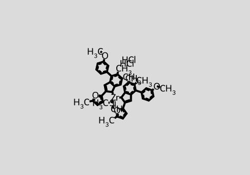 COc1cccc(-c2c(C)c(C)cc3c2C=C(c2ccc(C)o2)[CH]3[Zr]([CH]2C(c3ccc(C)o3)=Cc3c2cc(C)c(C)c3-c2cccc(OC)c2)=[Si](C)C)c1.Cl.Cl